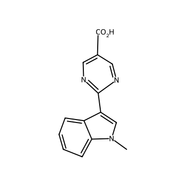 Cn1cc(-c2ncc(C(=O)O)cn2)c2ccccc21